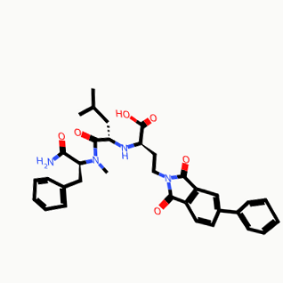 CC(C)C[C@H](N[C@H](CCN1C(=O)c2ccc(-c3ccccc3)cc2C1=O)C(=O)O)C(=O)N(C)[C@@H](Cc1ccccc1)C(N)=O